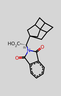 O=C(O)[C@@H](N1C(=O)c2ccccc2C1=O)C12CC3CC4CC(C1)C43C2